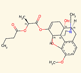 CCCC(=O)O[C@@H](C)C(=O)OC1=CC[C@@]2(O)[C@H]3Cc4ccc(OC)c5c4[C@@]2(CCN3C)[C@H]1O5